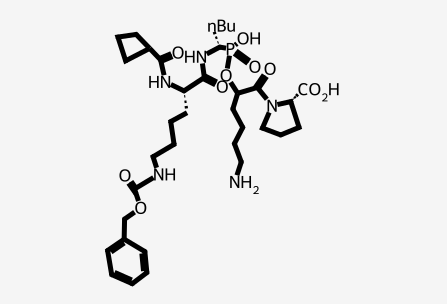 CCCC[C@@H](NC(=O)[C@H](CCCCNC(=O)OCc1ccccc1)NC(=O)C1CCC1)P(=O)(O)OC(CCCCN)C(=O)N1CCC[C@H]1C(=O)O